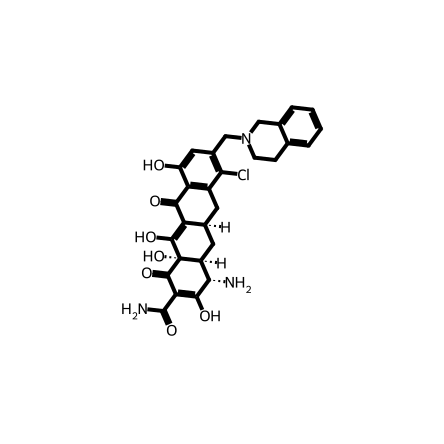 NC(=O)C1=C(O)[C@@H](N)[C@@H]2C[C@@H]3Cc4c(Cl)c(CN5CCc6ccccc6C5)cc(O)c4C(=O)C3=C(O)[C@]2(O)C1=O